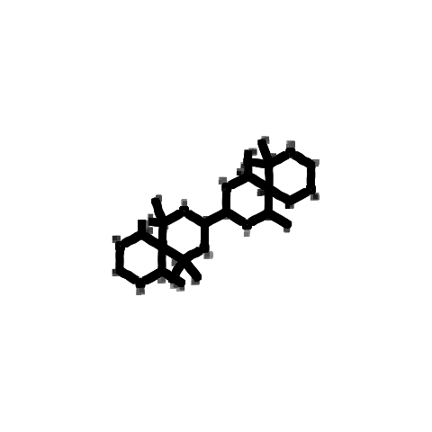 CC1OC(C2OC(C)(C)C3(C(C)OCOC3C)C(C)(C)O2)OC(C)C12COCOC2(C)C